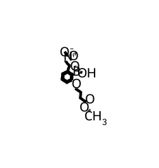 CCOC(=O)CCCOc1cccc2c1B(O)OC2C[N+](=O)[O-]